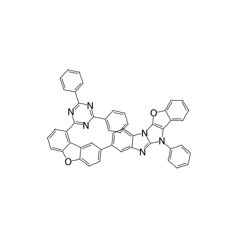 c1ccc(-c2nc(-c3ccccc3)nc(-c3cccc4oc5ccc(-c6ccc7c(c6)nc6n(-c8ccccc8)c8c9ccccc9oc8n76)cc5c34)n2)cc1